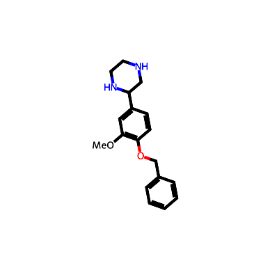 COc1cc(C2CNCCN2)ccc1OCc1ccccc1